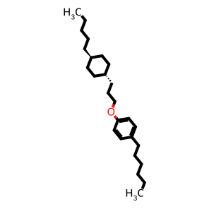 CCCCCCc1ccc(OCCC[C@H]2CC[C@H](CCCCC)CC2)cc1